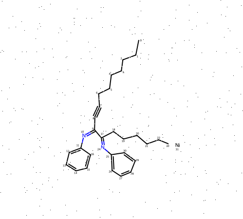 CCCCCCCC#CC(=Nc1ccccc1)C(CCCCCC)=Nc1ccccc1.[Ni]